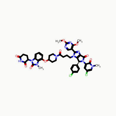 COc1ncc(-c2nc3c(n2CCCC(=O)N2CCC(Oc4cccc5c4n(C)c(=O)n5C4CCC(=O)NC4=O)CC2)[C@H](c2ccc(Cl)cc2)N(c2cc(Cl)cn(C)c2=O)C3=O)c(OC)n1